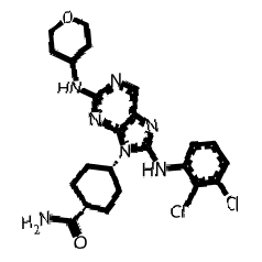 NC(=O)[C@H]1CC[C@H](n2c(Nc3cccc(Cl)c3Cl)nc3cnc(NC4CCOCC4)nc32)CC1